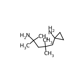 CC(C)(N)CC(C)(C)CC1(N)CC1